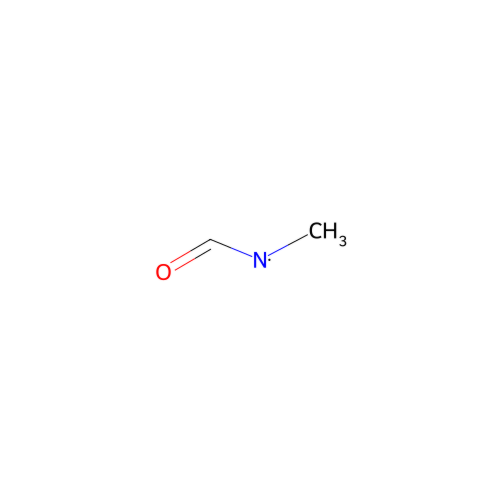 C[N]C=O